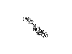 Cc1c(Cl)ccc2[nH]c(-c3ccc4c(ncn4CCCC4CCNCC4)c3C)nc12